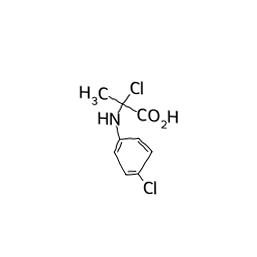 CC(Cl)(Nc1ccc(Cl)cc1)C(=O)O